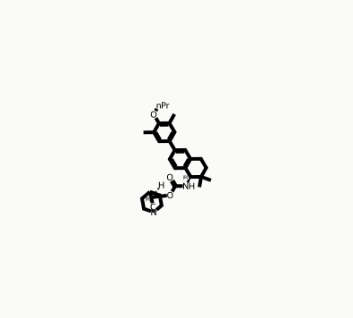 CCCOc1c(C)cc(-c2ccc3c(c2)CCC(C)(C)[C@H]3NC(=O)O[C@H]2CN3CCC2CC3)cc1C